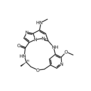 CNc1cc2nn3c(cnc13)C(=O)N[C@H](C)COCc1cnc(OC)c(c1)N2